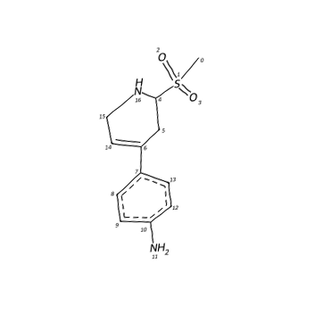 CS(=O)(=O)C1CC(c2ccc(N)cc2)=CCN1